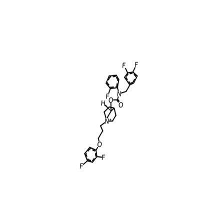 O=C(O[C@H]1C[N+]2(CCCOc3ccc(F)cc3F)CCC1CC2)N(Cc1ccc(F)c(F)c1)c1ccccc1F